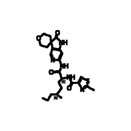 CCC[C@H](C)CC[C@H](NC(=O)c1csc(C)n1)C(=O)Nc1cc2c(cn1)C1(CCOCC1)C(=O)N2